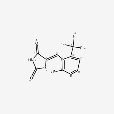 O=C1NC(=O)C(=Cc2c(F)cccc2C(F)(F)F)S1